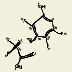 O=C(O)C(F)(F)F.Oc1cc(F)c(F)c(F)c1F